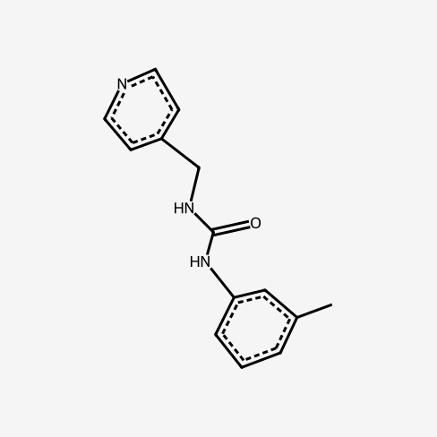 Cc1cccc(NC(=O)NCc2ccncc2)c1